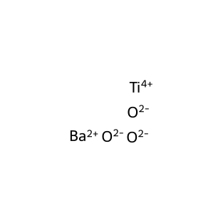 [Ba+2].[O-2].[O-2].[O-2].[Ti+4]